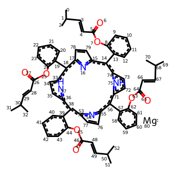 CC(C)C=CC(=O)Oc1ccccc1-c1c2nc(c(-c3ccccc3OC(=O)C=CC(C)C)c3ccc([nH]3)c(-c3ccccc3OC(=O)C=CC(C)C)c3nc(c(-c4ccccc4OC(=O)C=CC(C)C)c4ccc1[nH]4)C=C3)C=C2.[Mg]